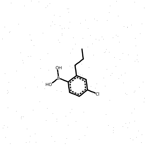 CCCc1cc(Cl)ccc1B(O)O